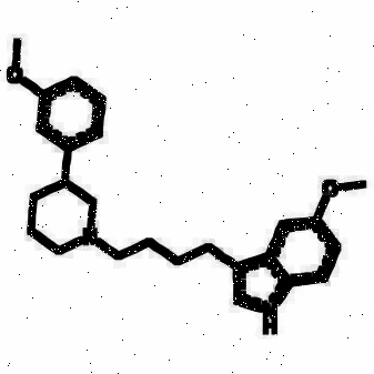 COc1cccc(C2CCCN(CCCCc3c[nH]c4ccc(OC)cc34)C2)c1